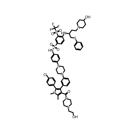 Cc1c(C(=O)N2CCN(CCO)CC2)c(-c2cccc(N3CCN(c4ccc(NS(=O)(=O)c5ccc(NC(CCN6CCC(O)CC6)CSc6ccccc6)c(S(=O)(=O)C(F)(F)F)c5)cc4)CC3)c2)c(-c2ccc(Cl)cc2)n1C